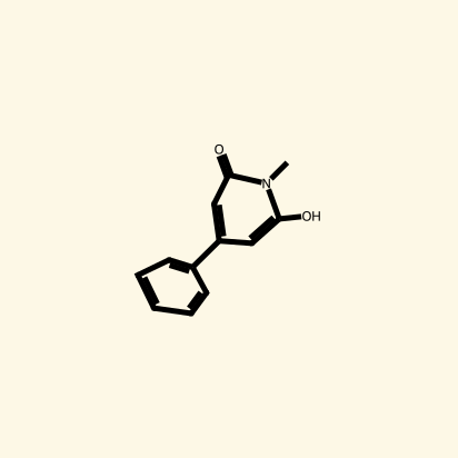 Cn1c(O)cc(-c2ccccc2)cc1=O